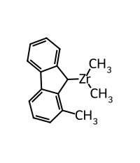 Cc1cccc2c1[CH]([Zr]([CH3])[CH3])c1ccccc1-2